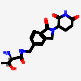 C[C@@H](O)[C@H](N)C(=O)NCc1ccc2c(c1)CN(C1CCC(=O)NC1=O)C2=O